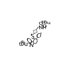 CC(C)(C)OC(=O)NCC1CC(Sc2c(Cl)ccc3nc(C(C)(C)C)oc23)C1